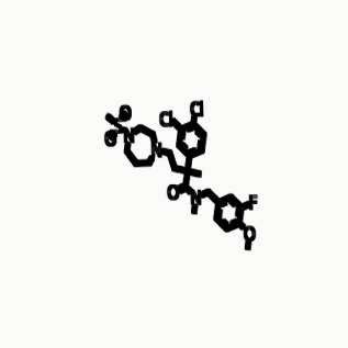 COc1ccc(CN(C)C(=O)C(C)(CCN2CCCN(S(C)(=O)=O)CC2)c2ccc(Cl)c(Cl)c2)cc1F